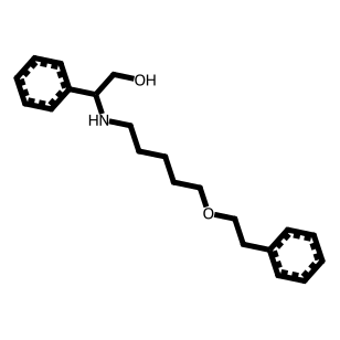 OCC(NCCCCCOCCc1ccccc1)c1ccccc1